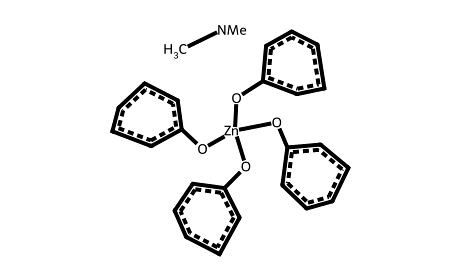 CNC.c1ccc([O][Zn]([O]c2ccccc2)([O]c2ccccc2)[O]c2ccccc2)cc1